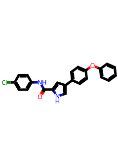 O=C(Nc1ccc(Cl)cc1)c1cc(-c2ccc(Oc3ccccc3)cc2)c[nH]1